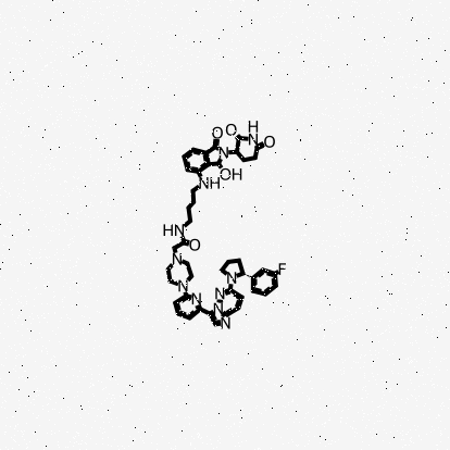 O=C(CN1CCN(c2cccc(-c3cnc4ccc(N5CCC[C@@H]5c5cccc(F)c5)nn34)n2)CC1)NCCCCNc1cccc2c1C(O)N(C1CCC(=O)NC1=O)C2=O